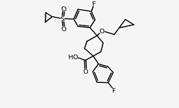 O=C(O)C1(c2ccc(F)cc2)CCC(OCC2CC2)(c2cc(F)cc(S(=O)(=O)C3CC3)c2)CC1